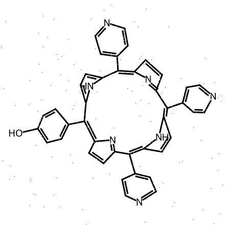 Oc1ccc(-c2c3nc(c(-c4ccncc4)c4ccc([nH]4)c(-c4ccncc4)c4nc(c(-c5ccncc5)c5ccc2[nH]5)C=C4)C=C3)cc1